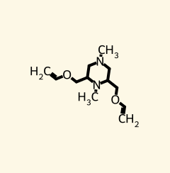 C=COCC1CN(C)CC(COC=C)N1C